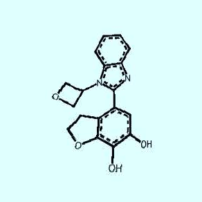 Oc1cc(-c2nc3ccccc3n2C2COC2)c2c(c1O)OCC2